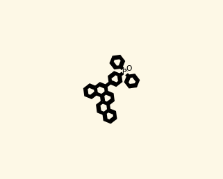 O=P(c1ccccc1)(c1ccccc1)c1ccc(-c2cc3ccccc3c3c2ccc2c4ccccc4ccc23)cc1